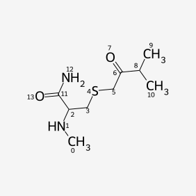 CNC(CSCC(=O)C(C)C)C(N)=O